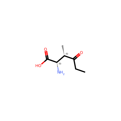 CCC(=O)[C@@H](C)[C@H](N)C(=O)O